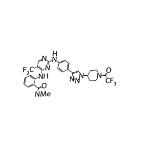 CNC(=O)c1ccccc1Nc1nc(Nc2ccc(-c3cn(C4CCN(C(=O)C(F)(F)F)CC4)nn3)cc2)ncc1C(F)(F)F